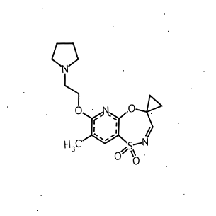 Cc1cc2c(nc1OCCN1CCCC1)OC1(C=NS2(=O)=O)CC1